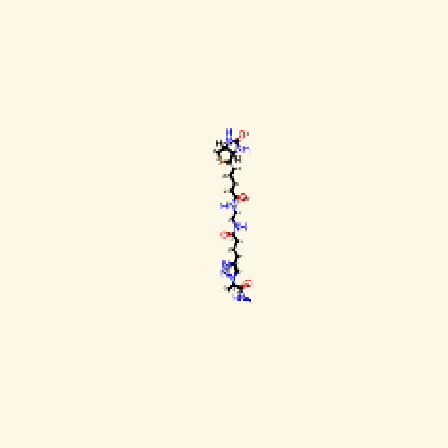 CNC(=O)C(C)n1cc(CCCC(=O)NCCNC(=O)CCCC[C@@H]2SC[C@@H]3NC(=O)N[C@@H]32)nn1